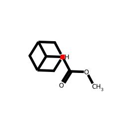 COC(=O)CC1C2CNCC1C2